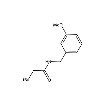 COc1cccc(CNC(=O)CC(C)(C)C)c1